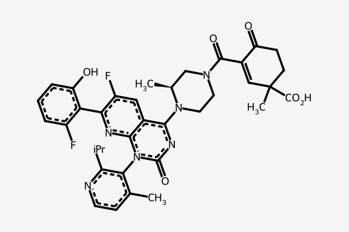 Cc1ccnc(C(C)C)c1-n1c(=O)nc(N2CCN(C(=O)C3=CC(C)(C(=O)O)CCC3=O)C[C@@H]2C)c2cc(F)c(-c3c(O)cccc3F)nc21